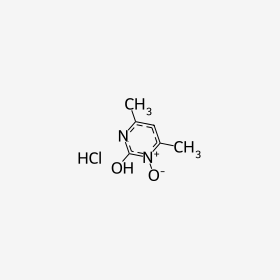 Cc1cc(C)[n+]([O-])c(O)n1.Cl